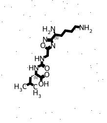 CC(C)C[C@H](NC(=O)NCc1nc([C@@H](N)CCCCN)no1)C(=O)O